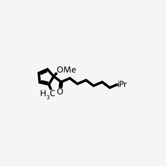 COC1(C(=O)CCCCCCC(C)C)C=CC=C1C